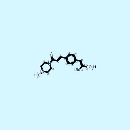 CN1CCN(C(=O)C=Cc2ccc(C=C(C(=O)O)C(C)(C)C)cc2)CC1